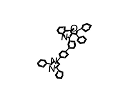 c1ccc(-c2cc(-c3ccc(-c4cccc(-c5nc6ccccc6c6oc(-c7ccccc7)c(-c7ccccc7)c56)c4)cc3)nc(-c3ccccc3)n2)cc1